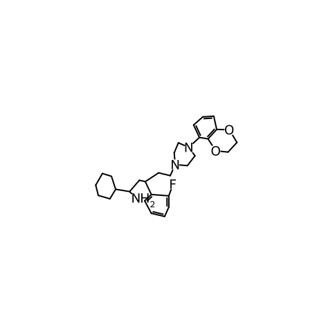 NC(CC(CCN1CCN(c2cccc3c2OCCO3)CC1)c1ccccc1F)C1CCCCC1